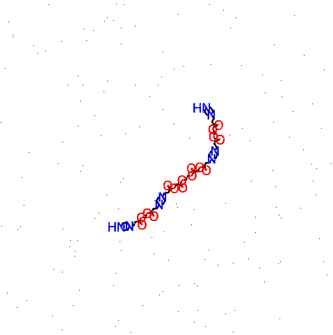 O=C(CCN1CCNCC1)OCOC(=O)CCN1CCN(CCC(=O)OCC(=O)OCCOC(=O)COC(=O)CCN2CCN(CCC(=O)OCOC(=O)CCN3CCNCC3)CC2)CC1